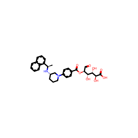 C[C@@H](N[C@H]1CCCN(c2ccc(C(=O)O[C@@H](C=O)[C@@H](O)[C@H](O)[C@H](O)C(=O)O)cc2)C1)c1cccc2ccccc12